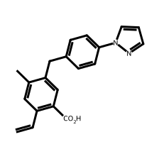 C=Cc1cc(C)c(Cc2ccc(-n3cccn3)cc2)cc1C(=O)O